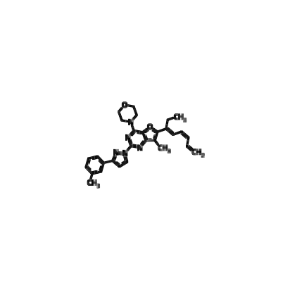 C=C/C=C\C=C(/CC)c1oc2c(N3CCOCC3)nc(-n3ccc(-c4cccc(C)c4)n3)nc2c1C